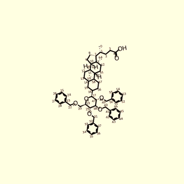 C[C@H](CCC(=O)O)[C@H]1CC[C@H]2[C@@H]3CCC4CC([C@@H]5O[C@H](COCc6ccccc6)[C@@H](OCc6ccccc6)[C@H](OCc6ccccc6)[C@H]5OCc5ccccc5)CC[C@]4(C)[C@H]3CC[C@]12C